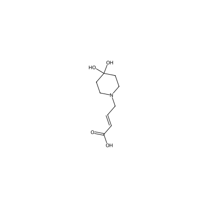 O=C(O)C=CCN1CCC(O)(O)CC1